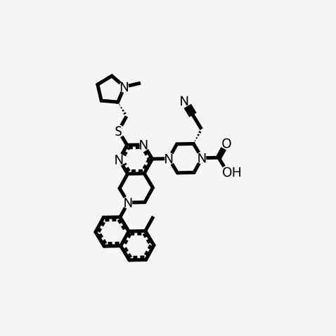 Cc1cccc2cccc(N3CCc4c(nc(SC[C@@H]5CCCN5C)nc4N4CCN(C(=O)O)[C@@H](CC#N)C4)C3)c12